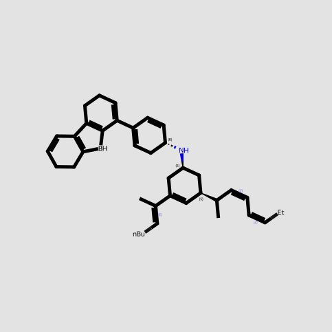 CC/C=C\C=C/C(C)[C@H]1C=C(/C(C)=C/CCCC)C[C@@H](N[C@H]2C=CC(C3=CCCC4=C3BC3=C4C=CCC3)=CC2)C1